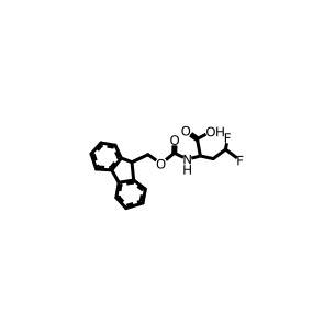 O=C(NC(CC(F)F)C(=O)O)OCC1c2ccccc2-c2ccccc21